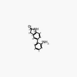 Nc1ccccc1-c1ccc2c(c1)CC(=O)N2